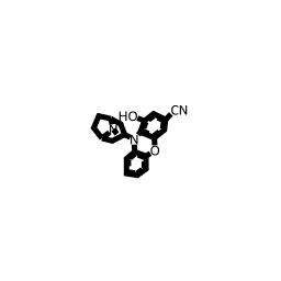 CN1C2CCC1CC(N1c3ccccc3Oc3cc(C#N)cc(O)c31)C2